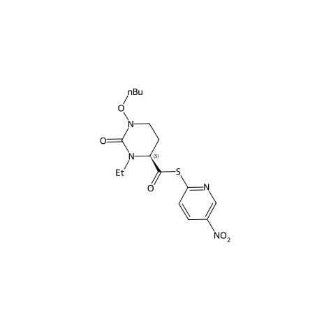 CCCCON1CC[C@@H](C(=O)Sc2ccc([N+](=O)[O-])cn2)N(CC)C1=O